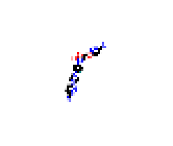 N#Cc1ccc(OC[C@H]2CN(c3ccc(N4CCN(c5ccc(C#N)nn5)CC4)c(F)c3)C(=O)O2)nn1